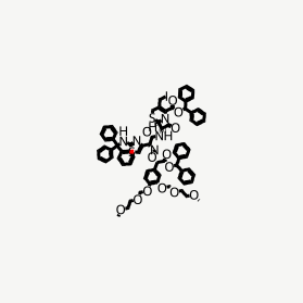 COCCOCOc1ccc(C(ON=C(C(=O)N[C@@H]2C(=O)N3C(C(=O)OC(c4ccccc4)c4ccccc4)=C(CI)CS[C@@H]23)c2csc(NC(c3ccccc3)(c3ccccc3)c3ccccc3)n2)C(=O)OC(c2ccccc2)c2ccccc2)cc1OCOCCOC